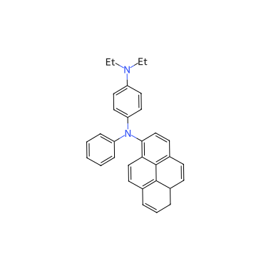 CCN(CC)c1ccc(N(c2ccccc2)c2ccc3c4c5c(ccc24)C=CCC5C=C3)cc1